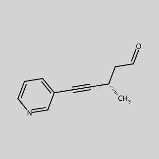 C[C@H](C#Cc1[c]nccc1)CC=O